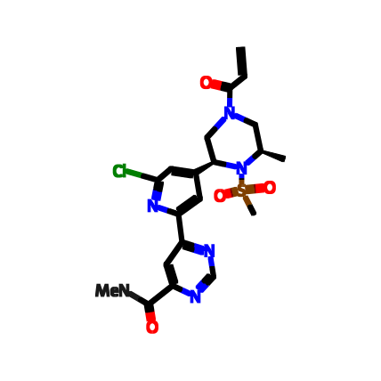 C=CC(=O)N1C[C@@H](C)N(S(C)(=O)=O)[C@@H](c2cc(Cl)nc(-c3cc(C(=O)NC)ncn3)c2)C1